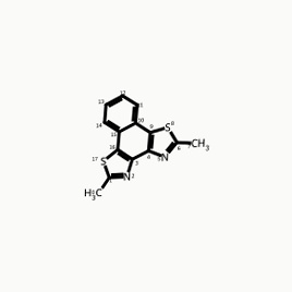 Cc1nc2c3nc(C)sc3c3ccccc3c2s1